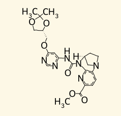 COC(=O)c1ccc2c(n1)N(C(=O)Nc1cc(OC[C@@H]3COC(C)(C)O3)ncn1)[C@H]1CCN2C1